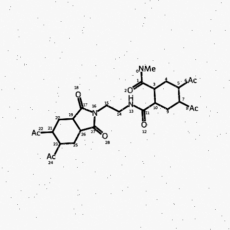 CNC(=O)C1CC(C(C)=O)C(C(C)=O)CC1C(=O)NCCN1C(=O)C2CC(C(C)=O)C(C(C)=O)CC2C1=O